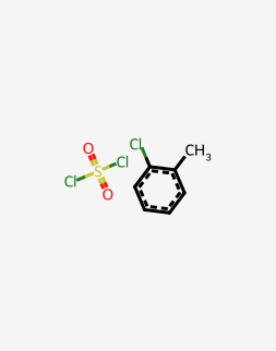 Cc1ccccc1Cl.O=S(=O)(Cl)Cl